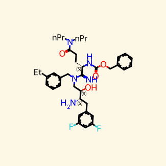 CCCN(CCC)C(=O)CC[C@H](NC(=O)OCc1ccccc1)C(=N)N(Cc1cccc(CC)c1)C[C@@H](O)[C@@H](N)Cc1cc(F)cc(F)c1